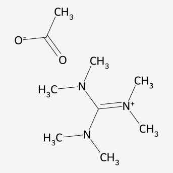 CC(=O)[O-].CN(C)C(N(C)C)=[N+](C)C